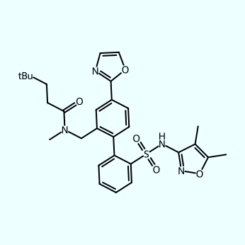 Cc1onc(NS(=O)(=O)c2ccccc2-c2ccc(-c3ncco3)cc2CN(C)C(=O)CCC(C)(C)C)c1C